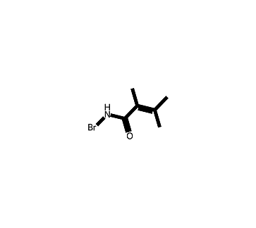 CC(C)=C(C)C(=O)NBr